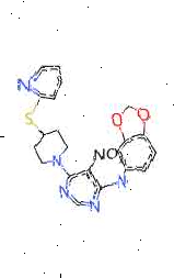 O=[N+]([O-])c1c([N]c2ccc3c(c2)OCO3)ncnc1N1CCC(Sc2ccccn2)CC1